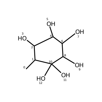 CC1C(O)C(O)C(O)C(O)C1(O)O